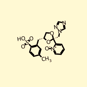 Cc1ccc(S(=O)(=O)O)c(C[C@@H]2CO[C@@](Cn3cncn3)(c3cccc[n+]3[O-])O2)c1